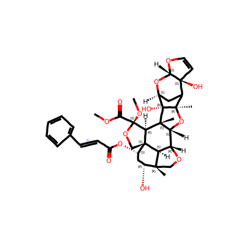 COC(=O)[C@@]1(OC)OC[C@@]23[C@@H](OC(=O)/C=C/c4ccccc4)C[C@@H](O)[C@@]4(C)CO[C@@H]([C@H]5O[C@]6(C)C7C[C@H](O[C@@H]8OC=C[C@]78O)[C@]6(O)[C@@]5(C)[C@H]12)[C@@H]43